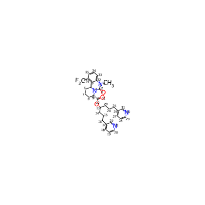 CN(C(=O)N1CCCC[C@H]1C(=O)OC(CCCc1cccnc1)CCCc1cccnc1)c1cccc(C(F)(F)F)c1